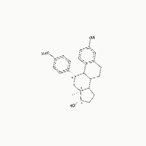 COc1ccc([C@H]2C[C@@]3(C)C(CC[C@@H]3O)C3CCc4cc(O)ccc4C32)cc1